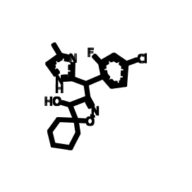 Cc1c[nH]c(C(C2=NOC3(CCCCC3)C2O)c2ccc(Cl)cc2F)n1